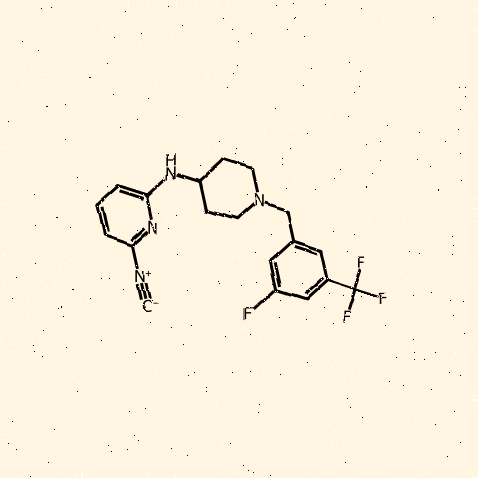 [C-]#[N+]c1cccc(NC2CCN(Cc3cc(F)cc(C(F)(F)F)c3)CC2)n1